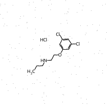 CCCNCCOc1cc(Cl)cc(Cl)c1.Cl